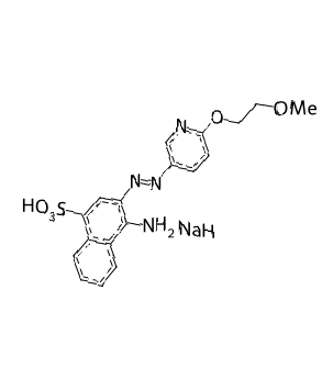 COCCOc1ccc(N=Nc2cc(S(=O)(=O)O)c3ccccc3c2N)cn1.[NaH]